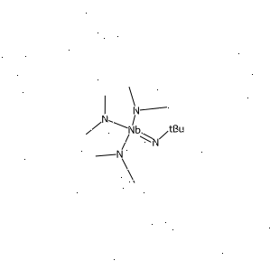 C[N](C)[Nb](=[N]C(C)(C)C)([N](C)C)[N](C)C